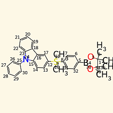 CC1(C)OB(c2ccc(S(C)(C)c3ccc4c(c3)c3ccccc3n4-c3ccccc3)cc2)OC1(C)C